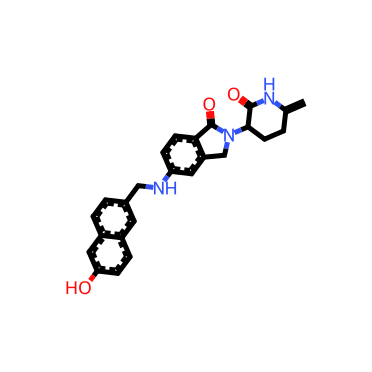 C=C1CCC(N2Cc3cc(NCc4ccc5cc(O)ccc5c4)ccc3C2=O)C(=O)N1